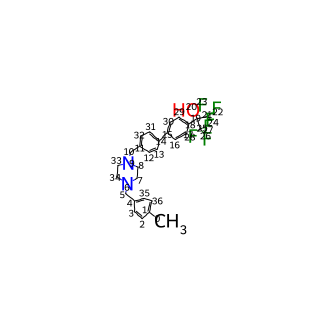 Cc1ccc(CN2CCN(Cc3ccc(-c4ccc(C(O)(C(F)(F)F)C(F)(F)F)cc4)cc3)CC2)cc1